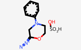 O=S(=O)(O)O.[N-]=[N+]=C1CN(c2ccccc2)CCO1